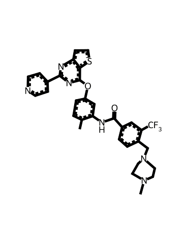 Cc1ccc(Oc2nc(-c3ccncc3)nc3ccsc23)cc1NC(=O)c1ccc(CN2CCN(C)CC2)c(C(F)(F)F)c1